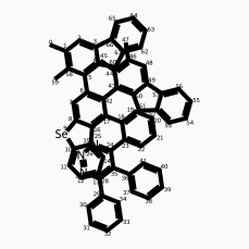 Cc1cc2c(c(-c3cc4[se]c5ccccc5c4c(-c4ccccc4-c4nnnc(-c5ccccc5)c4-c4ccccc4)c3-c3c(C)c(C)cc4c3Cc3ccccc3-4)c1C)Cc1ccccc1-2